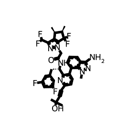 C[C@@H]1c2c(C(F)F)nn(CC(=O)N[C@@H](Cc3cc(F)cc(F)c3)c3nc(C#CC(C)(C)O)ccc3-c3cccc4c(N)nn(C)c34)c2C(F)(F)[C@@H]1C